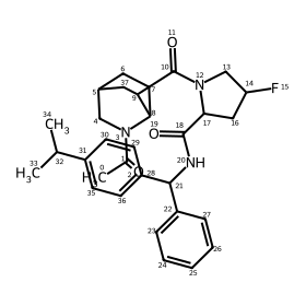 CC(=O)N1CC2CCC1C(C(=O)N1CC(F)CC1C(=O)NC(c1ccccc1)c1ccc(C(C)C)cc1)C2